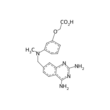 CN(Cc1ccc2c(N)nc(N)nc2c1)c1cccc(OCC(=O)O)c1